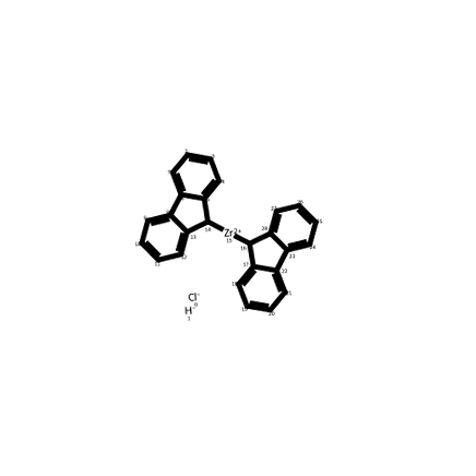 [Cl-].[H-].c1ccc2c(c1)-c1ccccc1[CH]2[Zr+2][CH]1c2ccccc2-c2ccccc21